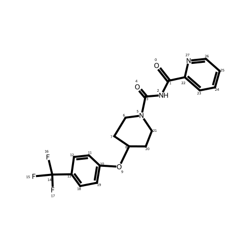 O=C(NC(=O)N1CCC(Oc2ccc(C(F)(F)F)cc2)CC1)c1ccccn1